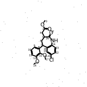 COC(=O)CC1CC(c2cccc(OC)c2OC)c2cc(Cl)ccc2NC1=O